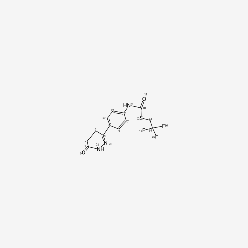 O=C1CCC(c2ccc(NC(=O)SCC(F)(F)F)cc2)=NN1